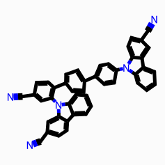 N#Cc1ccc(-c2ccc(-c3ccc(-n4c5ccccc5c5cc(C#N)ccc54)cc3)cc2)c(-n2c3ccccc3c3ccc(C#N)cc32)c1